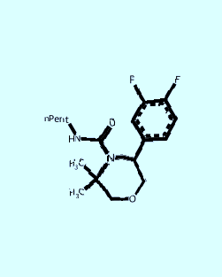 CCCCCNC(=O)N1C(c2ccc(F)c(F)c2)COCC1(C)C